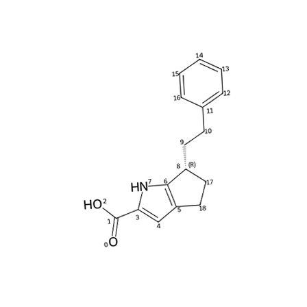 O=C(O)c1cc2c([nH]1)[C@H](CCc1ccccc1)CC2